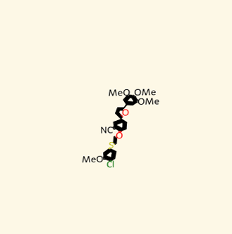 COc1cc(SCCOc2ccc([C@@H]3CC[C@@H](c4cc(OC)c(OC)c(OC)c4)O3)cc2C#N)ccc1Cl